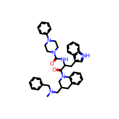 CN(Cc1ccccc1)CC1Cc2ccccc2N(C(=O)C(Cc2c[nH]c3ccccc23)NC(=O)N2CCN(c3ccccc3)CC2)C1